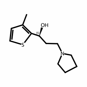 Cc1ccsc1[C@@H](O)CCN1CCCC1